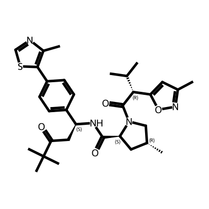 Cc1cc([C@H](C(=O)N2C[C@H](C)C[C@H]2C(=O)N[C@@H](CC(=O)C(C)(C)C)c2ccc(-c3scnc3C)cc2)C(C)C)on1